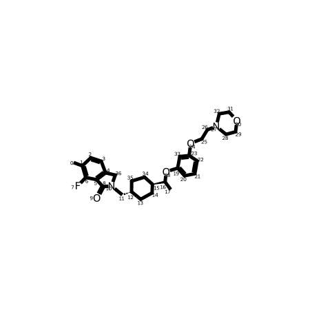 Cc1ccc2c(c1F)C(=O)N(C[C@H]1CC[C@H](C(C)Oc3cccc(OCCN4CCOCC4)c3)CC1)C2